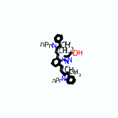 CCCN1/C(=C/C=C2\CCCC(/C=C/C3=[N+](CCC)c4ccccc4C3(C)C)=C2n2cc(CO)nn2)C(C)(C)c2ccccc21